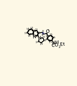 CCOC(=O)Nc1ccc(C(=O)/C=C/c2cc3ccccc3nc2N2CCCC2)cc1